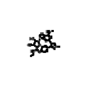 CCNC(=O)C1OC(n2cnc3c(NC)nc(-c4cn(C)nc4-c4ccccc4)nc32)C(O)C1O